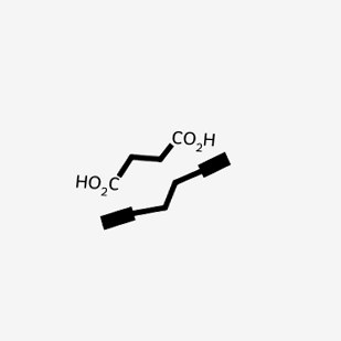 C#CCCC#C.O=C(O)CCC(=O)O